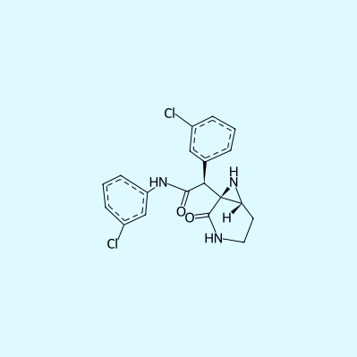 O=C(Nc1cccc(Cl)c1)[C@@H](c1cccc(Cl)c1)[C@]12N[C@@H]1CCNC2=O